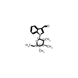 CC[C@H]1O[C@@H](n2cc(C=O)c3ccccc32)[C@H](C)[C@@H](C)[C@@H]1C